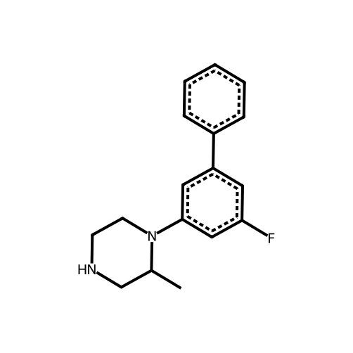 CC1CNCCN1c1cc(F)cc(-c2ccccc2)c1